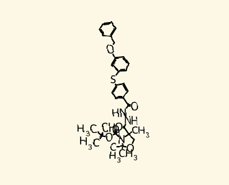 CC(C)(C)OC(=O)N1C(C)(C)OCC1(C)C(=O)NNC(=O)c1ccc(Sc2cccc(OCc3ccccc3)c2)cc1